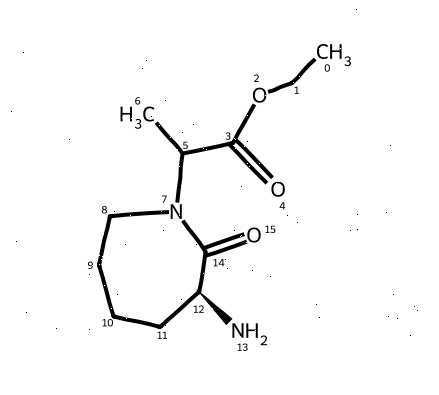 CCOC(=O)C(C)N1CCCC[C@H](N)C1=O